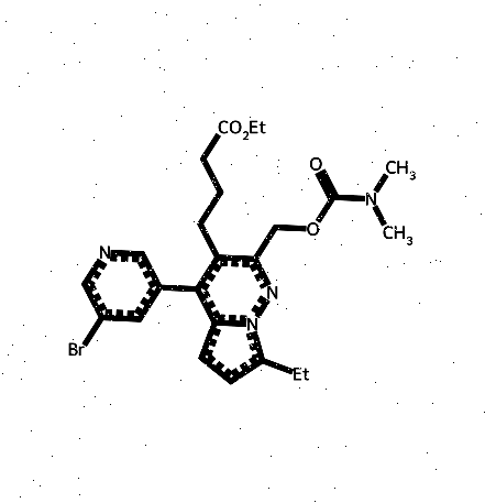 CCOC(=O)CCCc1c(COC(=O)N(C)C)nn2c(CC)ccc2c1-c1cncc(Br)c1